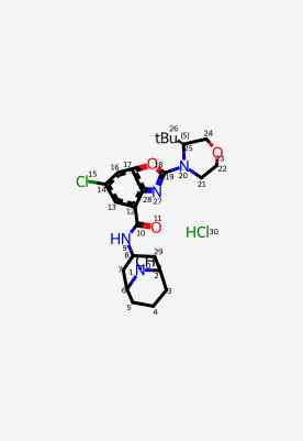 CN1C2CCCC1CC(NC(=O)c1cc(Cl)cc3oc(N4CCOC[C@@H]4C(C)(C)C)nc13)C2.Cl